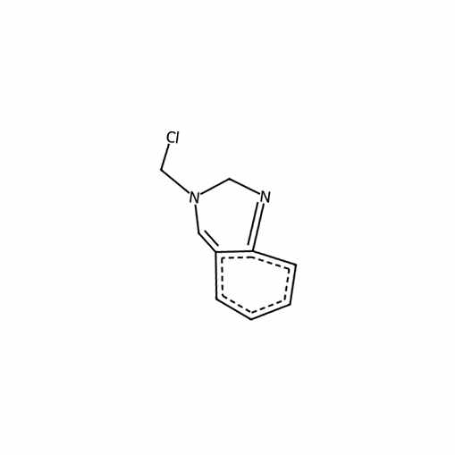 ClCN1C=c2ccccc2=NC1